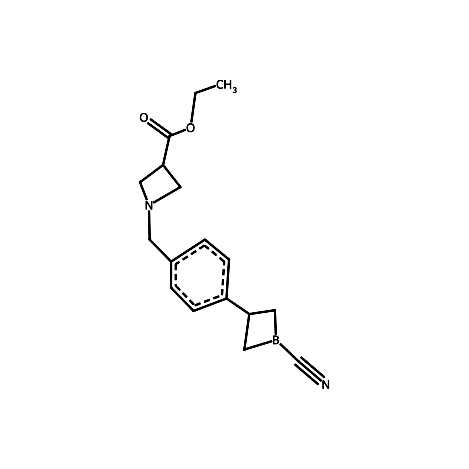 CCOC(=O)C1CN(Cc2ccc(C3CB(C#N)C3)cc2)C1